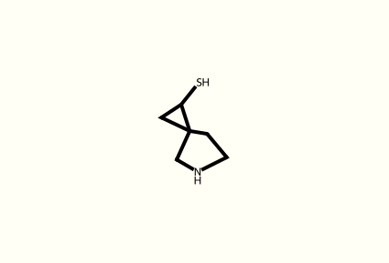 SC1CC12CCNC2